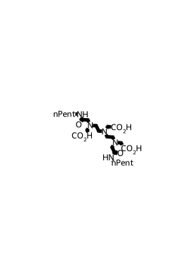 CCCCCNC(=O)CN(CCN(CCN(CC(=O)O)CC(=O)NCCCCC)CC(=O)O)CC(=O)O